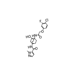 Cn1nccc1C(=O)NC12CCC(NC(=O)COc3ccc(Cl)c(F)c3)(CC1)C(O)C2